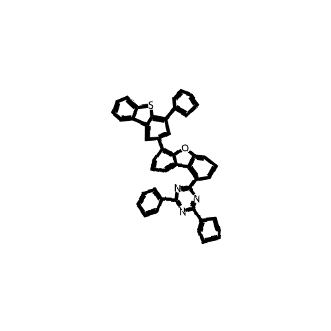 c1ccc(-c2nc(-c3ccccc3)nc(-c3cccc4oc5c(-c6cc(-c7ccccc7)c7sc8ccccc8c7c6)cccc5c34)n2)cc1